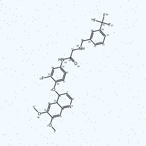 COC1=CC2=NC=CC(OC3=C=C=C(NC(=O)CNCc4cccc(C(F)(F)F)c4)C=C3F)C2C=C1OC